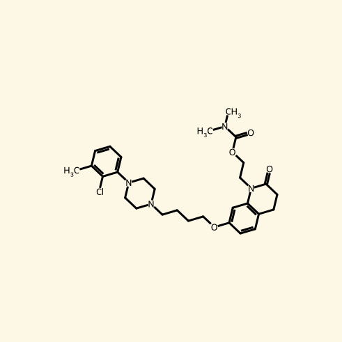 Cc1cccc(N2CCN(CCCCOc3ccc4c(c3)N(CCOC(=O)N(C)C)C(=O)CC4)CC2)c1Cl